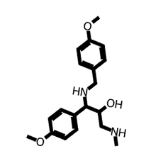 CNCC(O)C(NCc1ccc(OC)cc1)c1ccc(OC)cc1